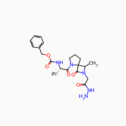 CC(C)[C@H](NC(=O)OCc1ccccc1)C(=O)N1CCCC12C(=O)N(CC(=O)NN)C2C